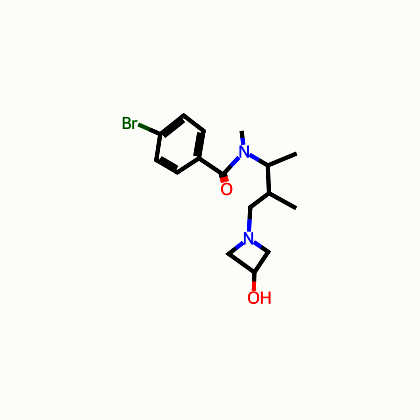 CC(CN1CC(O)C1)C(C)N(C)C(=O)c1ccc(Br)cc1